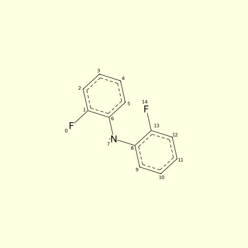 Fc1ccccc1[N]c1ccccc1F